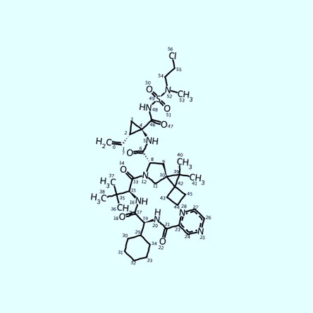 C=C[C@@H]1C[C@]1(NC(=O)[C@@H]1C[C@@]2(CN1C(=O)[C@@H](NC(=O)[C@@H](NC(=O)c1cnccn1)C1CCCCC1)C(C)(C)C)C(C)(C)C21CCC1)C(=O)NS(=O)(=O)N(C)CCCl